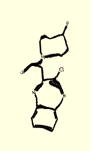 O=C(c1nc2ccccc2nc1Cl)N1CCC(F)CC1